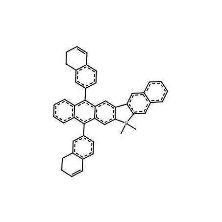 C[Si]1(C)c2cc3ccccc3cc2-c2cc3c(-c4ccc5c(c4)CCC=C5)c4ccccc4c(-c4ccc5c(c4)CCC=C5)c3cc21